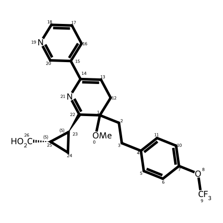 COC1(CCc2ccc(OC(F)(F)F)cc2)CC=C(c2cccnc2)N=C1[C@H]1C[C@@H]1C(=O)O